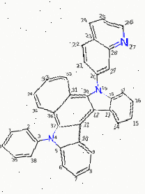 c1ccc(-n2c3ccccc3c3c4c5ccccc5n(-c5ccc6cccnc6c5)c4c4ccccc4c32)cc1